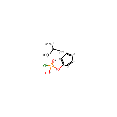 CNC(C(=O)O)C(C)C.O=P(O)(Cl)Oc1ccccc1